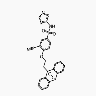 N#Cc1cc(S(=O)(=O)Nc2ncns2)ccc1OCCC12CCC(c3ccccc31)c1ccccc12